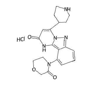 Cl.O=C1COCCN1c1cccc2nn3c(C4CCNCC4)cc(=O)[nH]c3c12